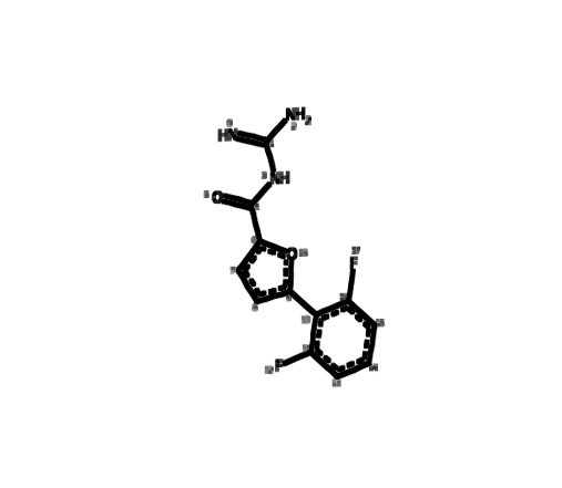 N=C(N)NC(=O)c1ccc(-c2c(F)cccc2F)o1